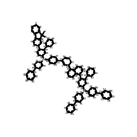 CC1(C)c2ccccc2-c2ccc(-c3ccc(N(c4ccc(C5=CC(c6cccc7c(-c8ccc(N(c9ccc(-c%10ccccc%10)cc9)c9ccc(-c%10ccccc%10)cc9)cc8-c8ccccc8)cccc67)CC=C5)cc4)c4ccc(-c5ccccc5)cc4)cc3-c3ccccc3)cc21